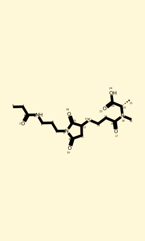 CCC(=O)NCCCN1C(=O)CC(SCCC(=O)N(C)[C@@H](C)C(=O)O)C1=O